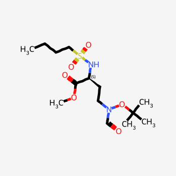 CCCCS(=O)(=O)N[C@@H](CCN(C=O)OC(C)(C)C)C(=O)OC